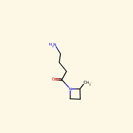 [CH2]C1CCN1C(=O)CCCN